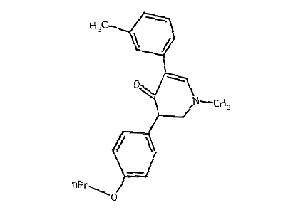 CCCOc1ccc(C2CN(C)C=C(c3cccc(C)c3)C2=O)cc1